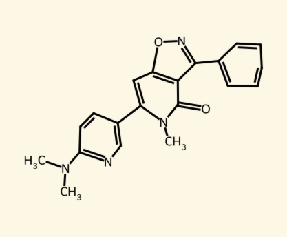 CN(C)c1ccc(-c2cc3onc(-c4ccccc4)c3c(=O)n2C)cn1